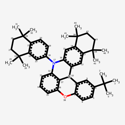 CC(C)(C)c1ccc2c(c1)B1c3cc4c(cc3N(c3ccc5c(c3)C(C)(C)CCC5(C)C)c3cccc(c31)O2)C(C)(C)CCC4(C)C